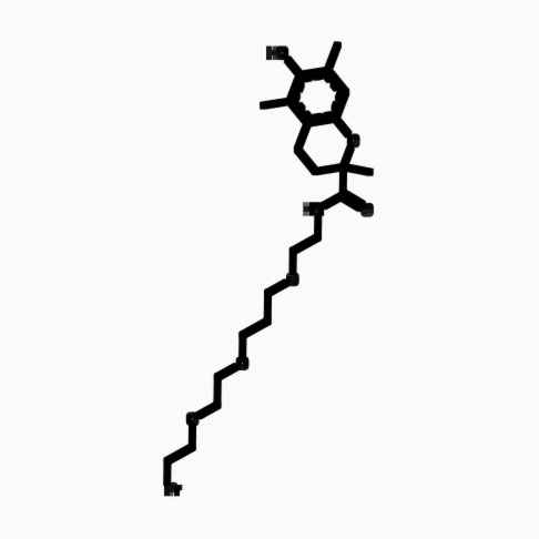 Cc1cc2c(c(C)c1O)CCC(C)(C(=O)NCCOCCCOCCOCCC(C)C)O2